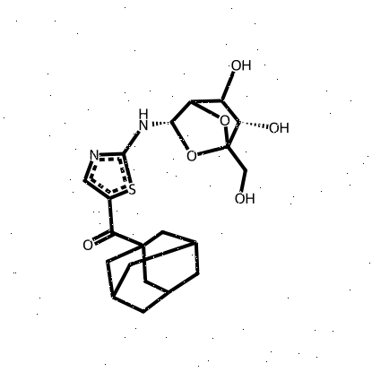 O=C(c1cnc(N[C@H]2OC3(CO)OC2C(O)[C@@H]3O)s1)C12CC3CC(CC(C3)C1)C2